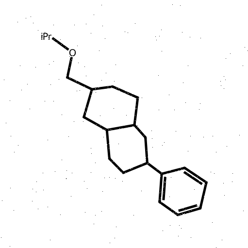 CC(C)OCC1CCC2CC(c3ccccc3)CCC2C1